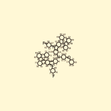 Fc1ccc(-n2c3ccc(N(c4ccc(Oc5ccccc5)cc4)c4ccc5c(c4)c4cc([Si](c6ccccc6)(c6ccccc6)c6ccccc6)ccc4n5-c4ccc(F)cc4)cc3c3cc([Si](c4ccccc4)(c4ccccc4)c4ccccc4)ccc32)cc1